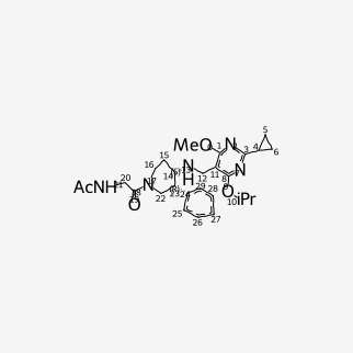 COc1nc(C2CC2)nc(OC(C)C)c1CN[C@H]1CCN(C(=O)CNC(C)=O)C[C@H]1c1ccccc1